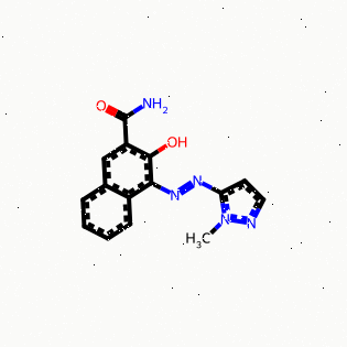 Cn1nccc1/N=N/c1c(O)c(C(N)=O)cc2ccccc12